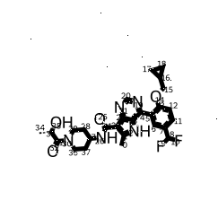 Cc1[nH]c2c(-c3cc(C(F)F)ccc3OCC3CC3)ncnc2c1C(=O)NC1CCN(C(=O)[C@H](C)O)CC1